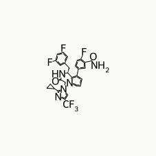 NC(=O)c1cc(-c2cccnc2[C@H](Cc2cc(F)cc(F)c2)NC(=O)Cn2cc(C(F)(F)F)nc2C2CC2)ccc1F